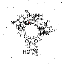 CC[C@H]1OC(=O)[C@H](C)[C@@H](O[C@H]2C[C@@](C)(OC)[C@@H](O)[C@H](C)O2)[C@H](C)[C@@H](O[C@@H]2O[C@H](C)C[C@H](N(C)CCC3=CN([C@H](CF)[C@H](OC)c4ccc(C#N)cc4)NN3)[C@H]2O)[C@](C)(O)C[C@@H](C)CN(C)[C@H](C)[C@@H](O)[C@]1(C)O